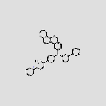 C=C(/C=C\C=C1\C=CC=CC1)c1ccc(N(c2cccc(-c3ccccc3)c2)c2ccc3ccc4c5ccccc5ccc4c3c2)cc1